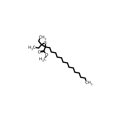 CCCCCCCCCCCCCCC1(C(=O)OC)SC1(CC)CC